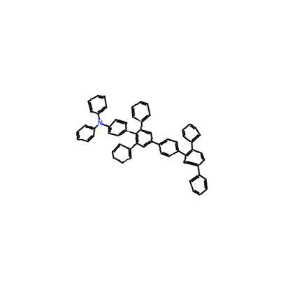 C1=CC(c2cc(-c3ccc(-c4cc(-c5ccccc5)ccc4-c4ccccc4)cc3)cc(-c3ccccc3)c2-c2ccc(N(c3ccccc3)c3ccccc3)cc2)=CCC1